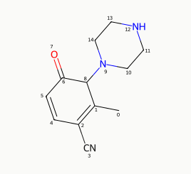 CC1=C(C#N)C=CC(=O)C1N1CCNCC1